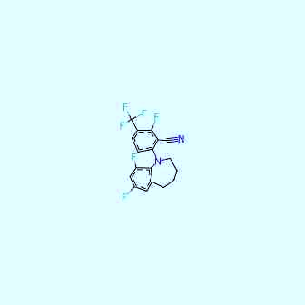 N#Cc1c(N2CCCCc3cc(F)cc(F)c32)ccc(C(F)(F)F)c1F